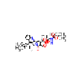 CCC1(OC(=O)CNC(=O)OC(C)(C)C)C(=O)OCc2c1cc1n(c2=O)Cc2c-1nc1ccccc1c2CC[Si](C)(C)C